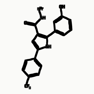 CCCNC(=O)c1cc(-c2ccc(C(F)(F)F)cc2)[nH]c1-c1cccc(O)c1